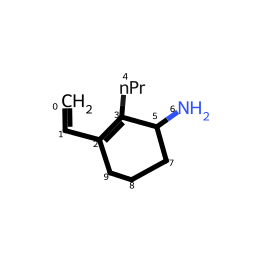 C=CC1=C(CCC)C(N)CCC1